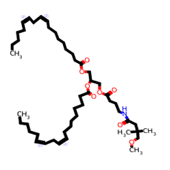 CCCCC/C=C\C/C=C\CCCCCCCC(=O)OCC(COC(=O)CCCNC(=O)CC(C)(C)COC)OC(=O)CCCCCCC/C=C\C/C=C\CCCCC